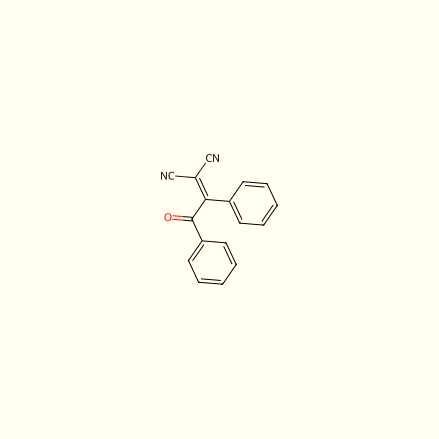 N#CC(C#N)=C(C(=O)c1ccccc1)c1ccccc1